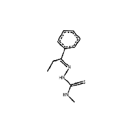 CCC(=NNC(=S)NC)c1ccccc1